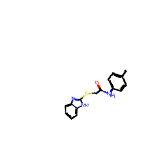 Cc1ccc(NC(=O)CSc2nc3ccccc3[nH]2)cc1